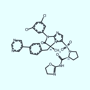 C[C@@]1(Cc2ccc(-c3cncnc3)cc2)C(=O)N(c2cc(Cl)cc(Cl)c2)c2ncc(S(=O)(=O)N3CCC[C@H]3C(=O)NC3=NCCO3)n21